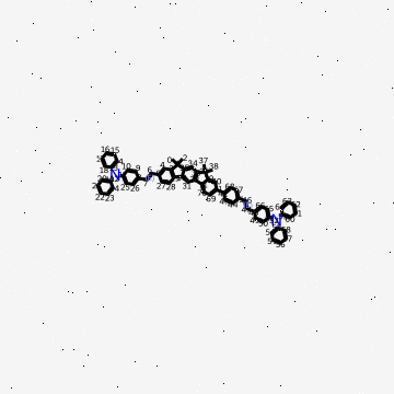 CC1(C)c2cc(/C=C/c3ccc(N(c4ccccc4)c4ccccc4)cc3)ccc2-c2cc3c(cc21)C(C)(C)c1cc(-c2ccc(/C=C/c4ccc(N(c5ccccc5)c5ccccc5)cc4)cc2)ccc1-3